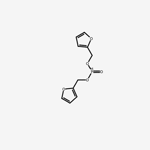 O=[PH](OCc1ccco1)OCc1ccco1